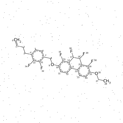 C=CCCc1ccc(COc2ccc3c(c2F)C(F)C(F)c2c-3ccc(OCC)c2F)c(F)c1F